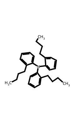 CCCCc1ccccc1N(c1ccccc1CCCC)c1ccccc1CCCC